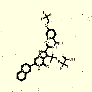 CC(NC(=O)c1nn2cc(-c3ccc4ccccc4c3)[nH]c(=O)c2c1C(F)(F)F)c1ccc(OCC(F)(F)F)cn1.O=C(O)C(F)(F)F